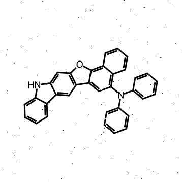 c1ccc(N(c2ccccc2)c2cc3c4cc5c(cc4oc3c3ccccc23)[nH]c2ccccc25)cc1